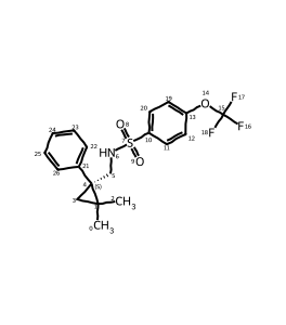 CC1(C)C[C@@]1(CNS(=O)(=O)c1ccc(OC(F)(F)F)cc1)c1ccccc1